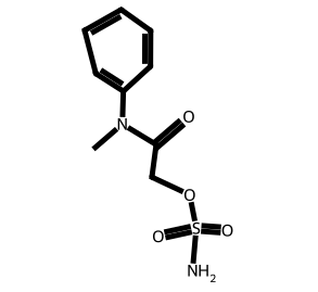 CN(C(=O)COS(N)(=O)=O)c1ccccc1